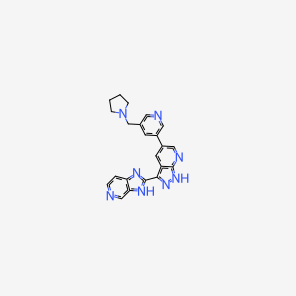 c1cc2nc(-c3n[nH]c4ncc(-c5cncc(CN6CCCC6)c5)cc34)[nH]c2cn1